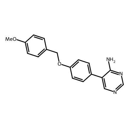 COc1ccc(COc2ccc(-c3cncnc3N)cc2)cc1